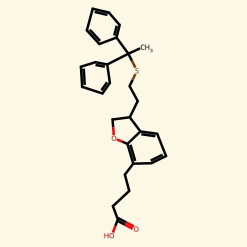 CC(SCCC1COc2c(CCCC(=O)O)cccc21)(c1ccccc1)c1ccccc1